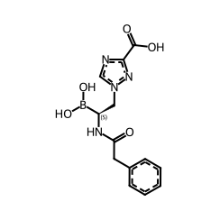 O=C(Cc1ccccc1)N[C@H](Cn1cnc(C(=O)O)n1)B(O)O